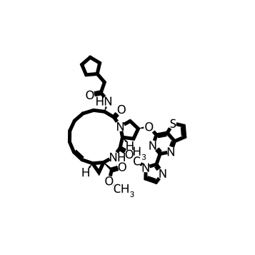 COC(=O)[C@@]12C[C@H]1/C=C\CCCCC[C@H](NC(=O)CC1CCCC1)C(=O)N1C[C@H](Oc3nc(-c4nccn4C)nc4ccsc34)C[C@H]1C(=O)N2